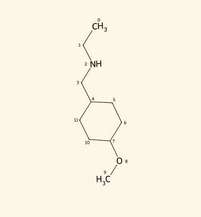 CCNCC1CCC(OC)CC1